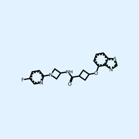 O=C(NC1CN(c2ccc(F)cn2)C1)C1CC(Oc2cccc3scnc23)C1